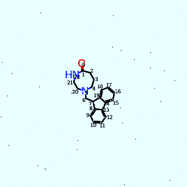 O=C1CCCN(CC2c3ccccc3-c3ccccc32)CCN1